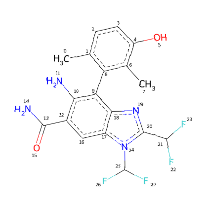 Cc1ccc(O)c(C)c1-c1c(N)c(C(N)=O)cc2c1nc(C(F)F)n2C(F)F